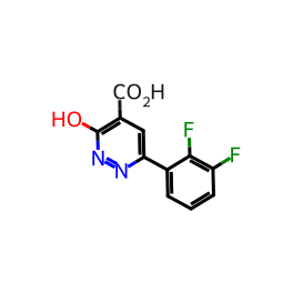 O=C(O)c1cc(-c2cccc(F)c2F)nnc1O